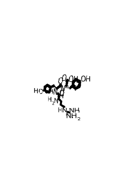 N=C(N)NCCC[C@H](N)C(=O)N[C@@H](Cc1ccc(O)cc1)C(=O)N[C@@H](Cc1ccc(O)cc1)C(=O)O